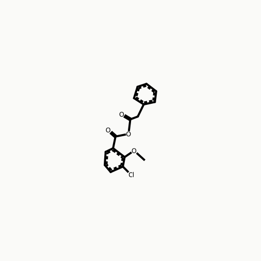 COc1c(Cl)cccc1C(=O)OC(=O)Cc1ccccc1